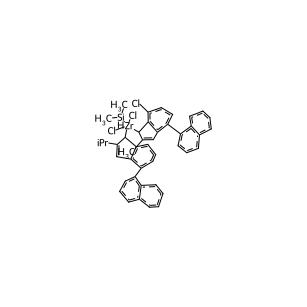 CC1=Cc2c(-c3cccc4ccccc34)ccc(Cl)c2[CH]1[Zr]([Cl])([Cl])([CH]1C(C(C)C)=Cc2c(-c3cccc4ccccc34)cccc21)[SiH](C)C